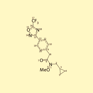 CON(CC1CC1)C(=O)Cc1ccc(-c2noc(C(F)(F)F)n2)cc1